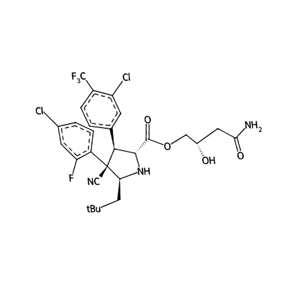 CC(C)(C)C[C@@H]1N[C@@H](C(=O)OC[C@@H](O)CC(N)=O)[C@H](c2ccc(C(F)(F)F)c(Cl)c2)[C@@]1(C#N)c1ccc(Cl)cc1F